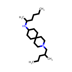 CCCCC(C)NC1CCC2(CC1)CCN(CC(C)CCC)CC2